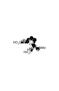 CNc1cncc(COc2cc(OCc3cccc(-c4cccc(-c5ccc6cc(CNC[C@@H](O)CC(=O)O)ccc6n5)c4C)c3C)c(Cl)cc2CNC[C@@H](O)CC(=O)O)c1